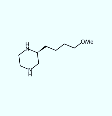 COCCCC[C@H]1CNCCN1